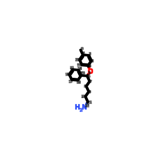 Cc1ccc(OC(CCCCCN)c2ccccc2)cc1